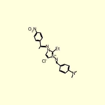 CCc1n(N=C(C)c2ccc([N+](=O)[O-])cc2)cc[n+]1N=Cc1ccc(N(C)C)cc1.[Cl-]